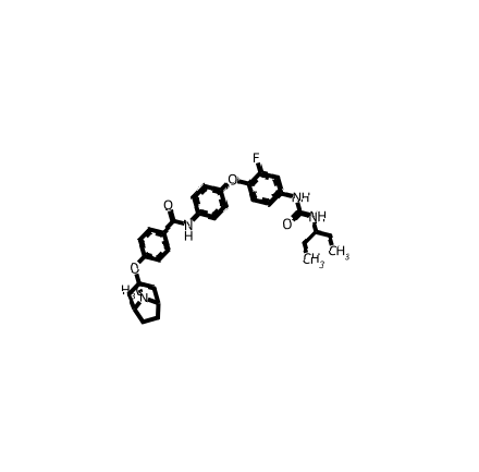 CCC(CC)NC(=O)Nc1ccc(Oc2ccc(NC(=O)c3ccc(OC4CC5CCC(C4)N5C)cc3)cc2)c(F)c1